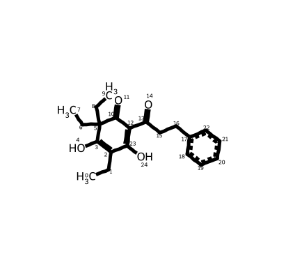 CCC1=C(O)C(CC)(CC)C(=O)C(C(=O)CCc2ccccc2)=C1O